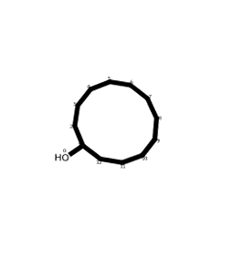 OC1CCCCCCCCCCC1